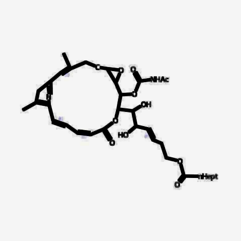 CCCCCCCC(=O)OCC/C=C/C(O)C(O)C1OC(=O)/C=C\C=C\C2=C(C)CC(=N2)/C=C(/C)CCC2OC2C1OC(=O)NC(C)=O